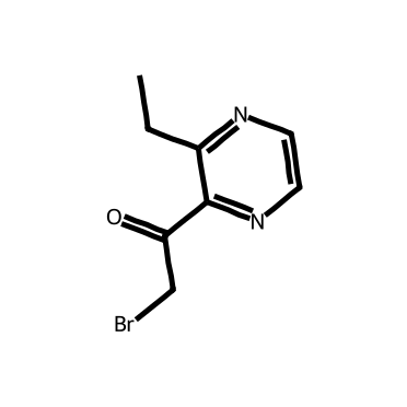 CCc1nccnc1C(=O)CBr